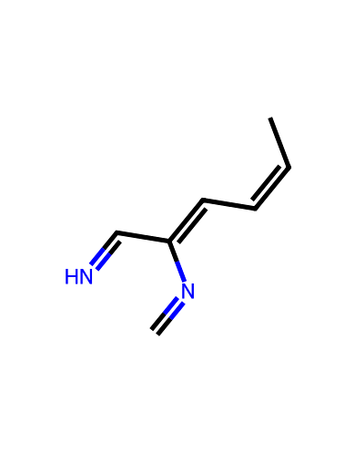 C=N/C(C=N)=C\C=C/C